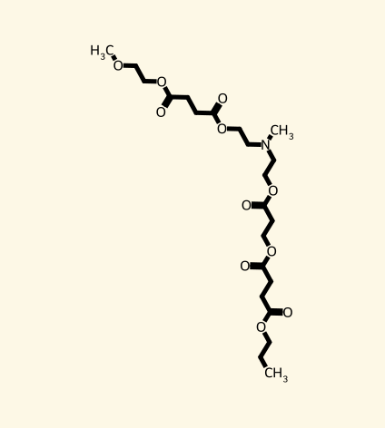 CCCOC(=O)CCC(=O)OCCC(=O)OCCN(C)CCOC(=O)CCC(=O)OCCOC